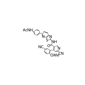 COc1ccc(C#N)cc1-c1cc(C#N)ncc1C(=O)Nc1nc2ccc(-c3ccc(NC(C)=O)cc3)nc2s1